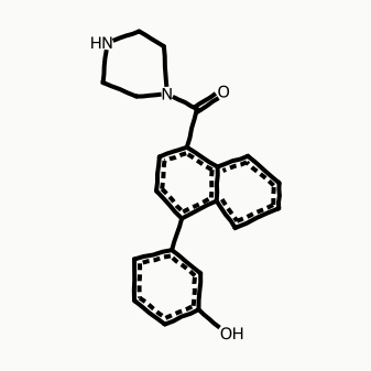 O=C(c1ccc(-c2cccc(O)c2)c2ccccc12)N1CCNCC1